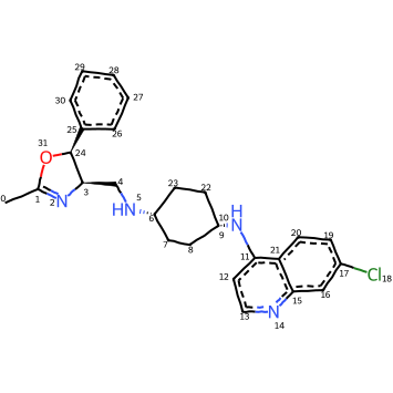 CC1=N[C@H](CN[C@H]2CC[C@@H](Nc3ccnc4cc(Cl)ccc34)CC2)[C@H](c2ccccc2)O1